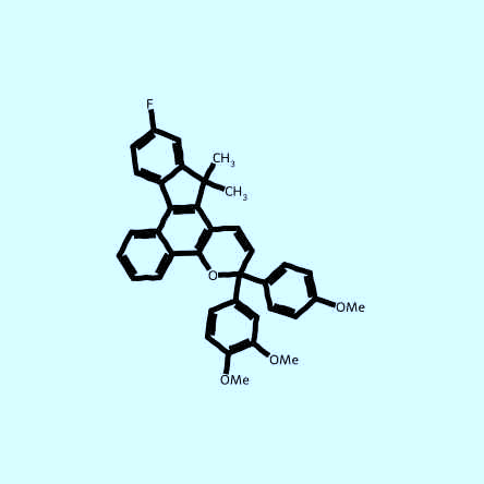 COc1ccc(C2(c3ccc(OC)c(OC)c3)C=Cc3c4c(c5ccccc5c3O2)-c2ccc(F)cc2C4(C)C)cc1